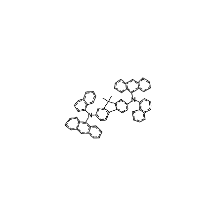 CC1(C)c2cc(N(c3cccc4ccccc34)c3c4ccccc4cc4ccccc34)ccc2-c2ccc(N(c3cccc4ccccc34)c3c4ccccc4cc4ccccc34)cc21